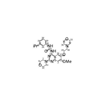 COc1cc2nc(N3CCOCC3)nc(NC(=O)Nc3cccc(C(C)C)c3)c2cc1OCCN1CCOCC1